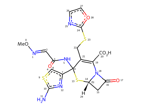 CON=CC(=O)NC1(c2csc(N)n2)S[C@H]2CC(=O)N2C(C(=O)O)=C1CSc1ncco1